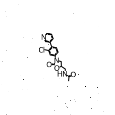 CC(=O)NCC1CN(c2ccc(-c3cccnc3)c(Cl)c2)C(=O)O1